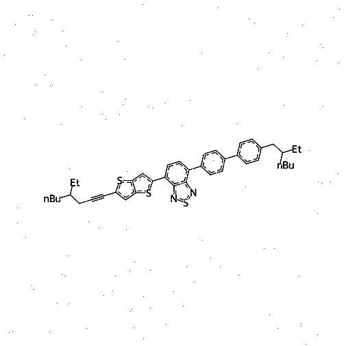 CCCCC(CC)CC#Cc1cc2sc(-c3ccc(-c4ccc(-c5ccc(CC(CC)CCCC)cc5)cc4)c4nsnc34)cc2s1